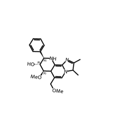 COCC1=CN2C(=C3N[C@H](c4ccccc4)[C@@H](O)[C@H](OC)C13)N=C(C)C2C